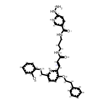 NNc1ccc(C(=O)NCCCNC(=O)/C=C/c2nc(CSc3ccccc3Cl)ccc2OCCc2ccccc2)cn1